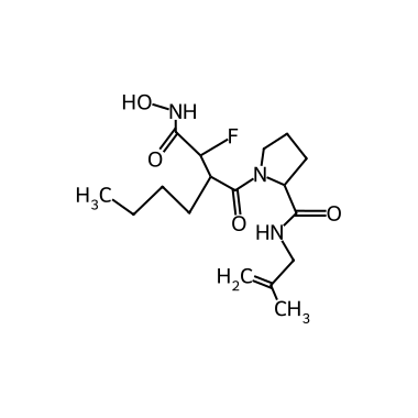 C=C(C)CNC(=O)C1CCCN1C(=O)C(CCCC)C(F)C(=O)NO